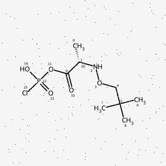 C[C@H](NOCC(C)(C)C)C(=O)OP(=O)(O)Cl